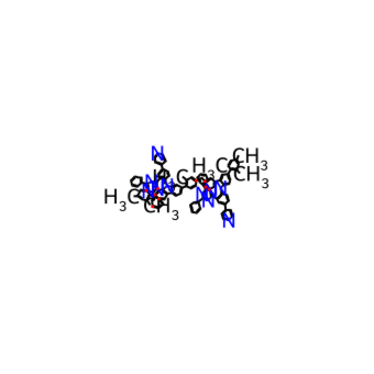 Cc1ccc(-c2ccc3c4ccc(-c5ccc(Cc6ccc7c(c6)c6cc(-c8c(C)cc(C)cc8C)ccc6n7-c6ccc(-c7ccncc7)cc6-c6nc(-c7ccccc7)nc(-c7ccccc7)n6)cc5C)cc4n(-c4ccc(-c5ccncc5)cc4-c4nc(-c5ccccc5)nc(-c5ccccc5)n4)c3c2)c(C)c1